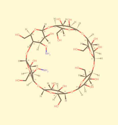 NO[C@@H]1[C@@H](O)[C@H]2O[C@@H]3[C@H](ON)[C@@H](O)[C@@H](O[C@H]4[C@H](O)[C@@H](O)[C@@H](O[C@H]5[C@H](O)[C@@H](O)[C@@H](O[C@H]6[C@H](O)[C@@H](O)[C@@H](O[C@H]7[C@H](O)[C@@H](O)[C@@H](O[C@H]1[C@@H](CO)O2)O[C@@H]7CO)O[C@@H]6CO)O[C@@H]5CO)O[C@@H]4CO)O[C@@H]3CO